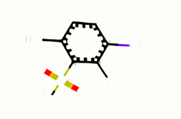 Cc1ccc(I)c(C)c1S(C)(=O)=O